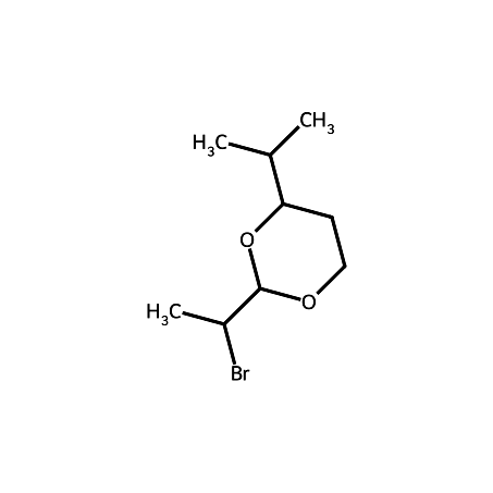 CC(C)C1CCOC(C(C)Br)O1